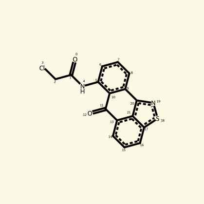 O=C(CCl)Nc1cccc2c1C(=O)c1cccc3snc-2c13